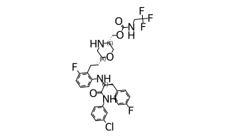 O=C(NCC(F)(F)F)OC[C@@H]1CO[C@H](CCc2c(F)cccc2N[C@@H](Cc2ccc(F)cc2)C(=O)Nc2cccc(Cl)c2)CN1